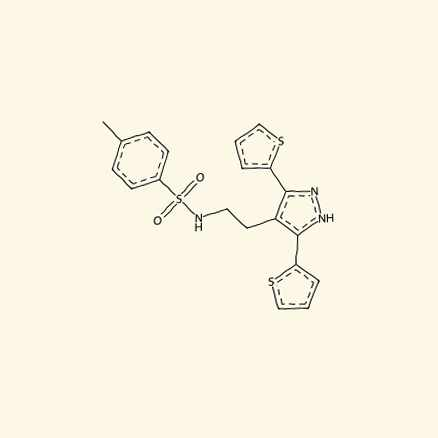 Cc1ccc(S(=O)(=O)NCCc2c(-c3cccs3)n[nH]c2-c2cccs2)cc1